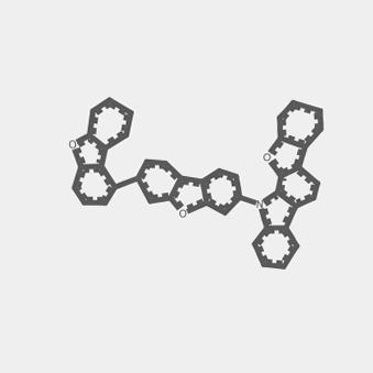 c1ccc2c(c1)oc1c2ccc2c3ccccc3n(-c3ccc4c(c3)oc3cc(-c5cccc6oc7ccccc7c56)ccc34)c21